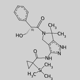 CC1(C)c2[nH]nc(NC(=O)C3([Si](C)(C)C)CC3)c2CN1C(=O)[C@H](CO)c1ccccc1